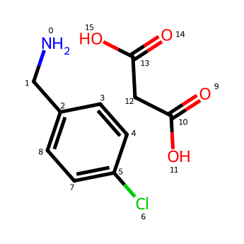 NCc1ccc(Cl)cc1.O=C(O)CC(=O)O